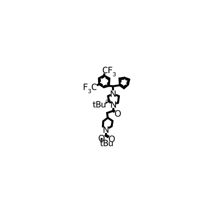 CC(C)(C)OC(=O)N1CCC(CC(=O)N2CCN(C(c3ccccc3)c3cc(C(F)(F)F)cc(C(F)(F)F)c3)C[C@@H]2C(C)(C)C)CC1